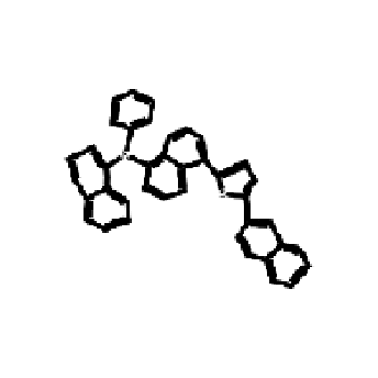 c1ccc(N(c2cccc3ccccc23)c2cccc3c(-c4ccc(-c5ccc6ccccc6c5)s4)cccc23)cc1